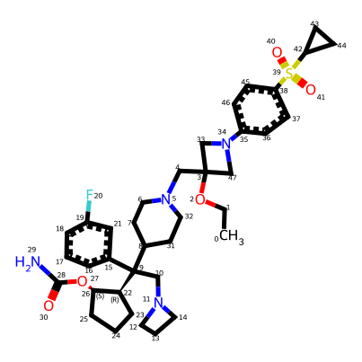 CCOC1(CN2CCC(C(CN3CCC3)(c3cccc(F)c3)[C@H]3CCC[C@@H]3OC(N)=O)CC2)CN(c2ccc(S(=O)(=O)C3CC3)cc2)C1